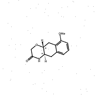 COc1cccc2c1C[C@H]1OCC(=O)N[C@@H]1C2